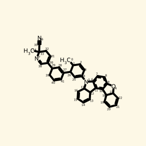 CC1C=CC(N2c3ccc4c(c3C3C=CC=CC32)C2C=CC=CC2O4)=CC1C1=CC(C2=CCC(C)(C#N)N=C2)CC=C1